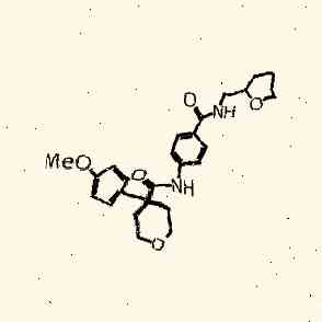 COc1ccc(C2(C(=O)Nc3ccc(C(=O)NCC4CCCO4)cc3)CCOCC2)cc1